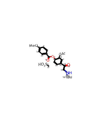 COc1ccc(C(=O)Oc2ccc(C(=O)CNC(C)(C)C)cc2OC(C)=O)cc1.CS(=O)(=O)O